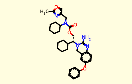 Cc1nc(CN(C(=O)OC[C@@H](C2CCCCC2)N2Cc3cc(Oc4ccccc4)ccc3N=C2N)C2CCCCC2)co1